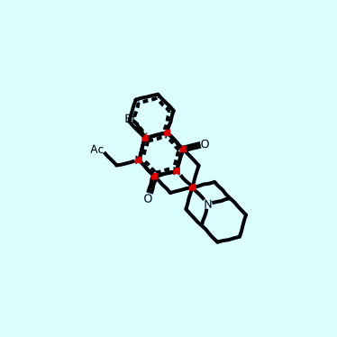 CCC1CC2CC(C1)CC(N1C3CCCC1CC(n1c(=O)c4ccccc4n(CC(C)=O)c1=O)C3)C2